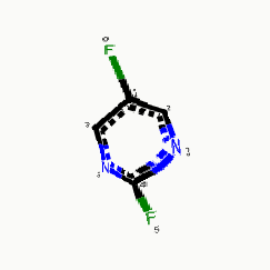 Fc1cnc(F)nc1